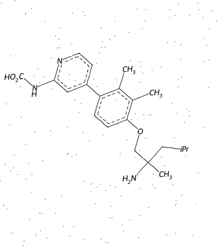 Cc1c(OCC(C)(N)CC(C)C)ccc(-c2ccnc(NC(=O)O)c2)c1C